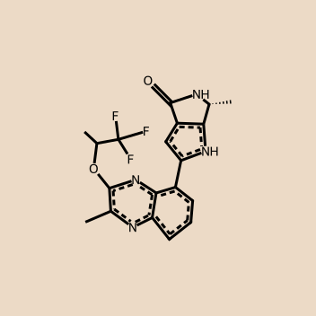 Cc1nc2cccc(-c3cc4c([nH]3)[C@@H](C)NC4=O)c2nc1OC(C)C(F)(F)F